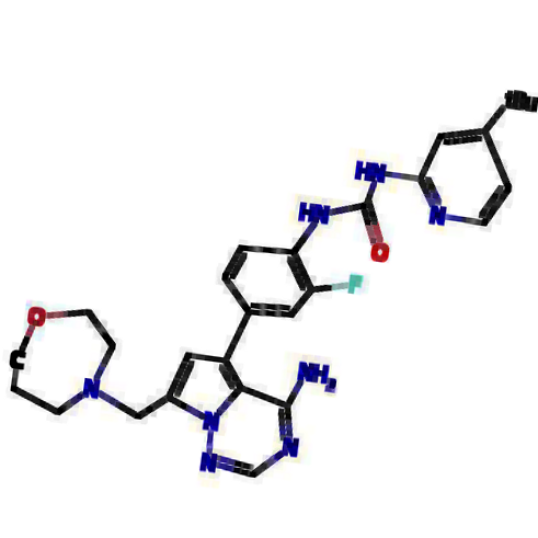 CC(C)(C)c1ccnc(NC(=O)Nc2ccc(-c3cc(CN4CCCOCC4)n4ncnc(N)c34)cc2F)c1